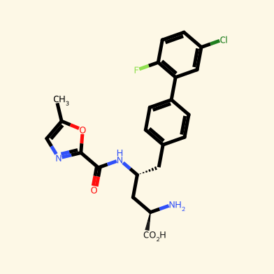 Cc1cnc(C(=O)N[C@H](Cc2ccc(-c3cc(Cl)ccc3F)cc2)C[C@@H](N)C(=O)O)o1